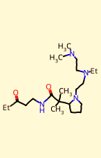 CCC(=O)CCNC(=O)C(C)(C)C1CCCN1CCN(CC)CCN(C)C